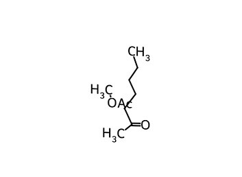 CCCCCC(C)=O.COC(C)=O